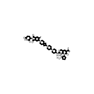 C[C@@]1(O)CCCC1n1c(=O)c(C(F)F)cc2cnc(NC3CCN(C4CCN(C5CC6(CCN(c7cc8c(cc7F)C(=O)N(C7CCC(=O)NC7=O)C8=O)CC6)C5)CC4)CC3)nc21